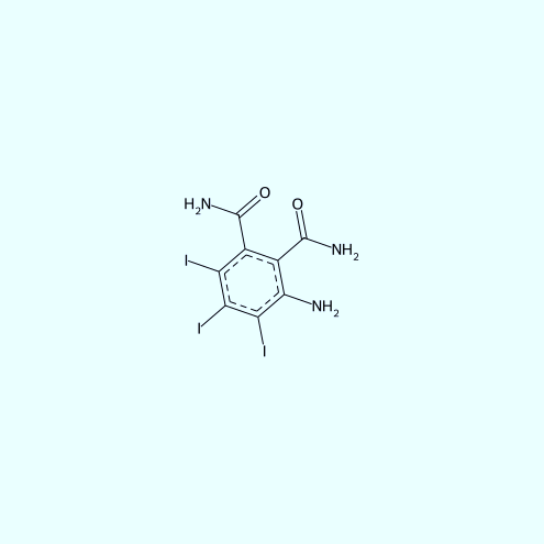 NC(=O)c1c(N)c(I)c(I)c(I)c1C(N)=O